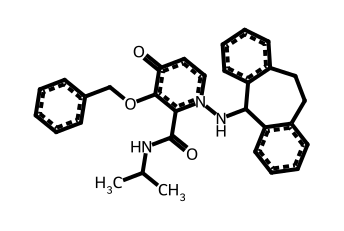 CC(C)NC(=O)c1c(OCc2ccccc2)c(=O)ccn1NC1c2ccccc2CCc2ccccc21